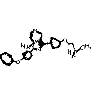 CN(C)CCOc1ccc(C2=C3C=NC=C[N+]3(N)C(c3ccc(Oc4ccccc4)cc3)=N2)cc1